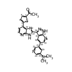 CC(=O)c1ccc(-c2ccnc3[nH]c(-c4n[nH]c5ncc(-c6cncc(N(C)C)c6)cc45)nc23)s1